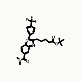 CN(C)C(=O)c1ccc2nc(-c3ccc(C(F)(F)F)cc3)c(CCCCC(=O)OC(C)(C)C)nc2c1